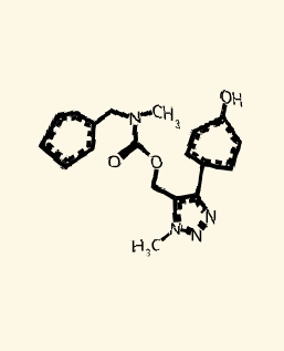 CN(Cc1ccccc1)C(=O)OCc1c(-c2ccc(O)cc2)nnn1C